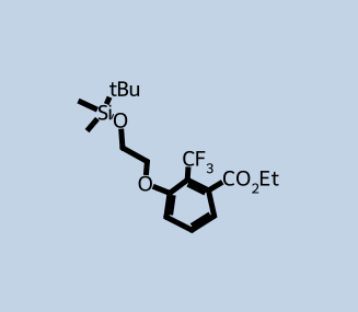 CCOC(=O)c1cccc(OCCO[Si](C)(C)C(C)(C)C)c1C(F)(F)F